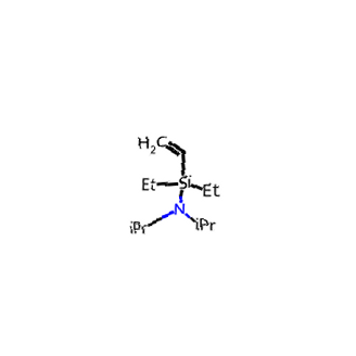 C=C[Si](CC)(CC)N(C(C)C)C(C)C